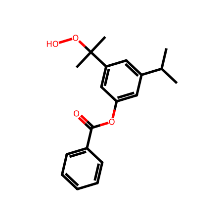 CC(C)c1cc(OC(=O)c2ccccc2)cc(C(C)(C)OO)c1